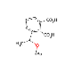 CCCCOC(C)c1cccc(C(=O)O)c1C(=O)O